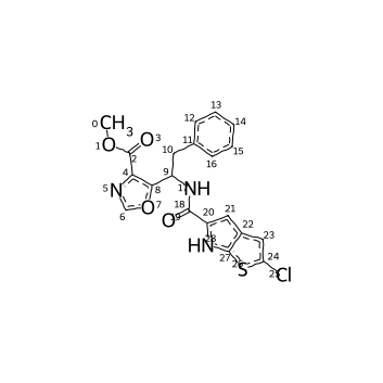 COC(=O)c1ncoc1C(Cc1ccccc1)NC(=O)c1cc2cc(Cl)sc2[nH]1